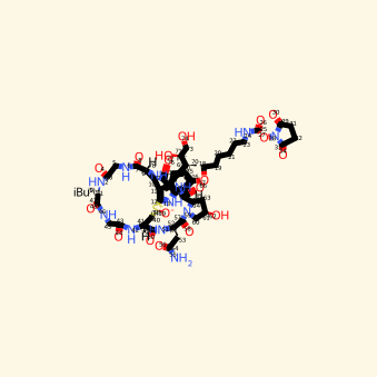 CC[C@H](C)[C@@H]1NC(=O)CNC(=O)[C@@H]2Cc3c([nH]c4cc(OCCCCCCNC(=O)ON5C(=O)CCC5=O)ccc34)[S@+]([O-])C[C@H](NC(=O)CNC1=O)C(=O)N[C@@H](CC(N)=O)C(=O)N1C[C@H](O)C[C@H]1C(=O)N[C@@H]([C@@H](C)[C@@H](O)CO)C(=O)N2